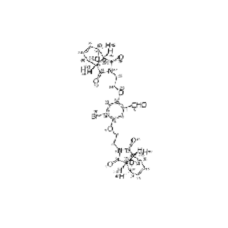 O=Cc1cc(OCCN2C(=O)[C@@H]3[C@H](C2=O)[C@H]2C=C[C@@H]3O2)c(Br)cc1OCCN1C(=O)[C@@H]2[C@H](C1=O)[C@H]1C=C[C@@H]2O1